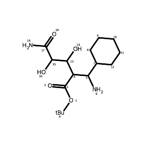 CC(C)(C)OC(=O)C(C(N)C1CCCCC1)C(O)C(O)C(N)=O